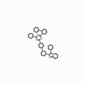 c1ccc(-c2nc(-c3ccc(-c4cccc(-c5nc6ccccn6c5-c5ccccc5)c4)cc3)nc(-c3ccccc3-c3ccccc3)n2)cc1